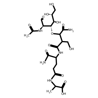 CC(=O)N[C@@H](C=O)[C@@H](OC(C(N)=O)C(CO)C(=O)NC(CCC(=O)NC(C)C(=O)O)C(N)=O)[C@H](O)[C@H](O)CO